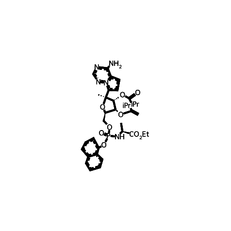 C=C(O[C@H]1[C@@H](OC(=O)C(C)C)[C@](C)(c2ccc3c(N)ncnn23)O[C@@H]1COP(=O)(N[C@@H](C)C(=O)OCC)Oc1cccc2ccccc12)C(C)C